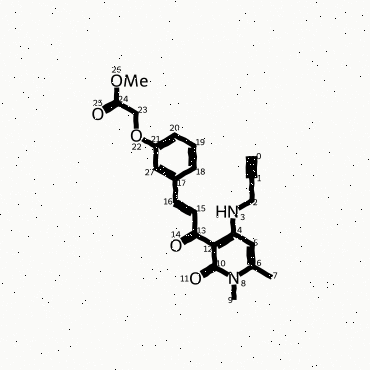 C#CCNc1cc(C)n(C)c(=O)c1C(=O)/C=C/c1cccc(OCC(=O)OC)c1